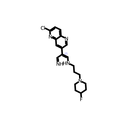 N=C/C(=C\NCCCN1CCC(F)CC1)c1cnc2ccc(Cl)nc2c1